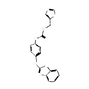 O=C(NCc1cnco1)Nc1ccc(Nc2nc3ccccc3s2)cc1